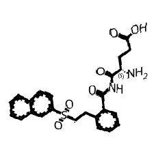 N[C@@H](CCC(=O)O)C(=O)NC(=O)c1ccccc1C[CH]S(=O)(=O)c1ccc2ccccc2c1